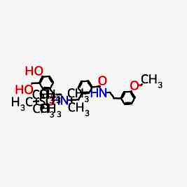 CCOc1cccc(CCNC(=O)c2cccc(CC(C)(C)NC[C@@H](O[Si](C)(C)C(C)(C)C)c3ccc(O)c(CO)c3)c2)c1